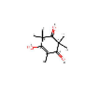 CC1=C(O)C(C)(C)C(=O)C(C)(C)C1=O